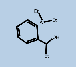 CCC(O)c1ccccc1.C[CH2][Al][CH2]C